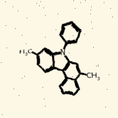 Cc1ccc2c3c4ccccc4c(C)cc3n(-c3ccccc3)c2c1